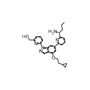 CCC[C@H](N)c1cccc(-c2cc(OCCC3CC3)c3cnn(-c4cccc(CO)n4)c3c2)n1